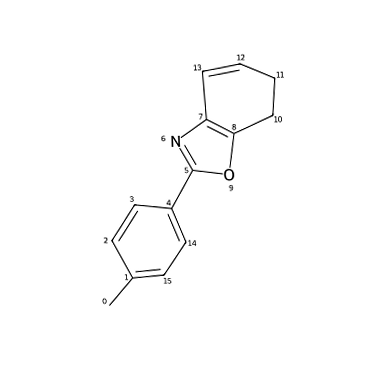 Cc1ccc(-c2nc3c(o2)CCC=C3)cc1